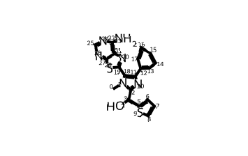 Cn1c(C(O)c2cccs2)nc(-c2ccccc2)c1-c1nc2c(N)ncnc2s1